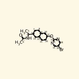 CC(=O)NC(C)c1ccc2cc(Oc3ncc(Br)cn3)ccc2c1